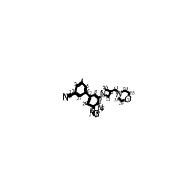 N#Cc1cccc(-c2cc(N3CC(CN4CCOCC4)C3)c3nonc3c2)c1